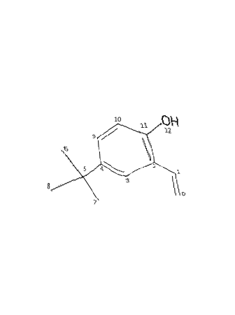 C=Cc1cc(C(C)(C)C)ccc1O